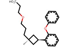 C[C@]1(CCCOCCC(=O)O)C[C@@H](c2ccccc2Oc2ccccc2)C1